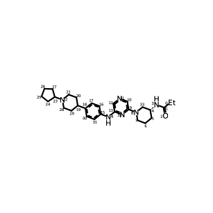 CCC(=O)N[C@@H]1CCCN(c2cncc(Nc3ccc(C4CCN(C5CCCC5)CC4)cc3)n2)C1